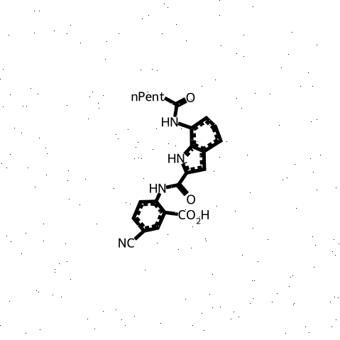 CCCCCC(=O)Nc1cccc2cc(C(=O)Nc3ccc(C#N)cc3C(=O)O)[nH]c12